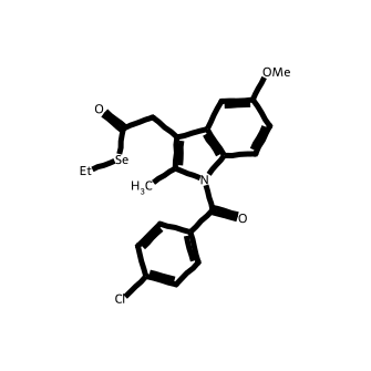 CC[Se]C(=O)Cc1c(C)n(C(=O)c2ccc(Cl)cc2)c2ccc(OC)cc12